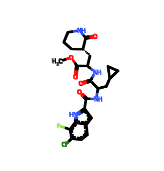 COC(=O)C(C[C@@H]1CCCNC1=O)NC(=O)C(CC1CC1)NC(=O)c1cc2ccc(Cl)c(F)c2[nH]1